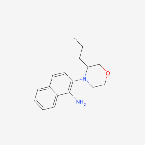 CCCC1COCCN1c1ccc2ccccc2c1N